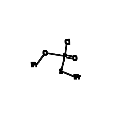 CC(C)OP(=O)(Cl)SC(C)C